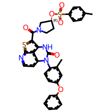 Cc1ccc(S(=O)(=O)O[C@@H]2CCN(C(=O)c3sc4nccc5c4c3NC(=O)N5c3ccc(Oc4ccccc4)cc3C)C2)cc1